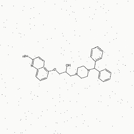 CCCCc1ccc2c(OCC(O)CN3CCN(C(c4ccccc4)c4ccccc4)CC3)cccc2n1